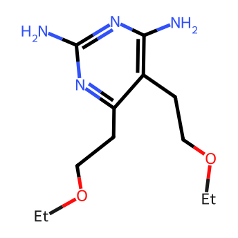 CCOCCc1nc(N)nc(N)c1CCOCC